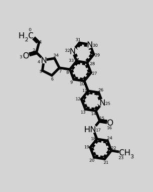 C=CC(=O)N1CCC(c2cc(-c3ccc(C(=O)Nc4cccc(C)c4)nc3)cc3cncnc23)C1